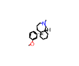 COc1cccc([C@@]23CCCC[C@H]2CN(C)CCC3)c1